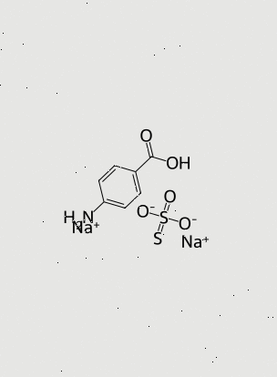 Nc1ccc(C(=O)O)cc1.O=S([O-])([O-])=S.[Na+].[Na+]